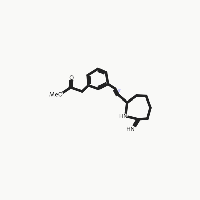 COC(=O)Cc1cccc(/C=C/C2CCCCC(=N)N2)c1